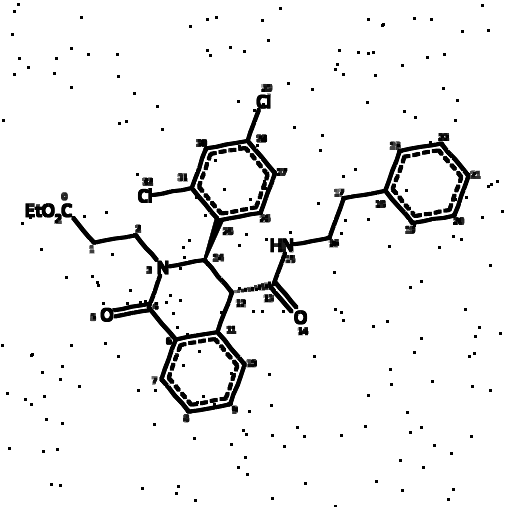 CCOC(=O)CCN1C(=O)c2ccccc2[C@@H](C(=O)NCCc2ccccc2)[C@@H]1c1ccc(Cl)cc1Cl